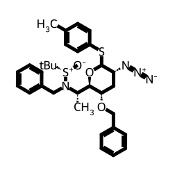 Cc1ccc(SC2O[C@H]([C@H](C)N(Cc3ccccc3)[S@@+]([O-])C(C)(C)C)[C@@H](OCc3ccccc3)C[C@H]2N=[N+]=[N-])cc1